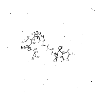 CC(C)(C)C(NCCCCCCCN1C(=O)c2ccccc2C1=O)c1ccc(F)c(OCC2CC2)c1